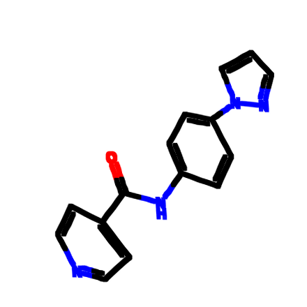 O=C(Nc1ccc(-n2cccn2)cc1)c1ccncc1